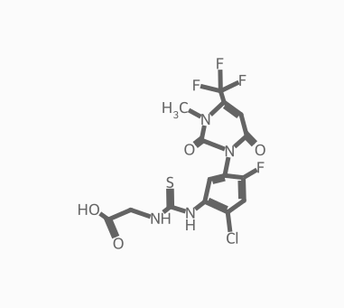 Cn1c(C(F)(F)F)cc(=O)n(-c2cc(NC(=S)NCC(=O)O)c(Cl)cc2F)c1=O